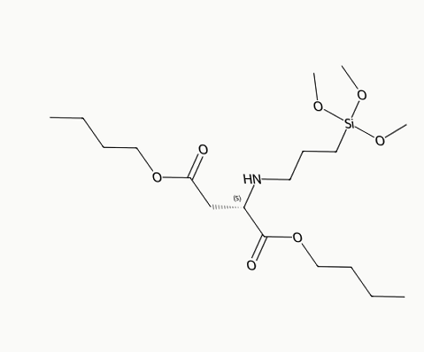 CCCCOC(=O)C[C@H](NCCC[Si](OC)(OC)OC)C(=O)OCCCC